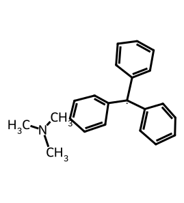 CN(C)C.c1ccc([C](c2ccccc2)c2ccccc2)cc1